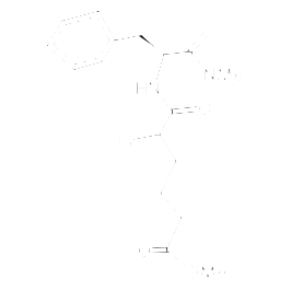 CNC(=O)[C@H](Cc1ccccc1)NC(=O)C(S)CCCC(=O)OC